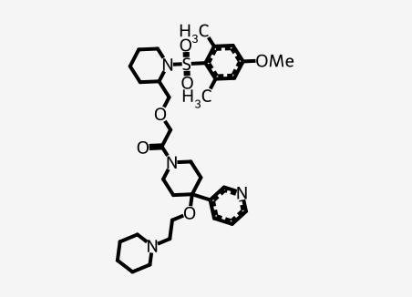 COc1cc(C)c(S(=O)(=O)N2CCCCC2COCC(=O)N2CCC(OCCN3CCCCC3)(c3cccnc3)CC2)c(C)c1